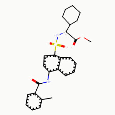 COC(=O)[C@@H](NS(=O)(=O)c1ccc(NC(=O)c2ccccc2C)c2ccccc12)C1CCCCC1